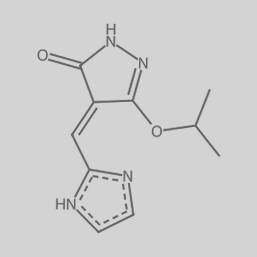 CC(C)OC1=NNC(=O)/C1=C/c1ncc[nH]1